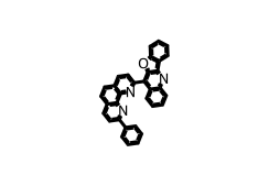 c1ccc(-c2ccc3ccc4ccc(-c5c6ccccc6nc6c5oc5ccccc56)nc4c3n2)cc1